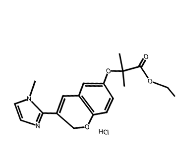 CCOC(=O)C(C)(C)Oc1ccc2c(c1)C=C(c1nccn1C)CO2.Cl